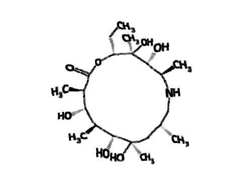 CC[C@H]1OC(=O)[C@H](C)[C@@H](O)[C@H](C)[C@@H](O)[C@](C)(O)C[C@@H](C)CN[C@H](C)[C@@H](O)[C@]1(C)O